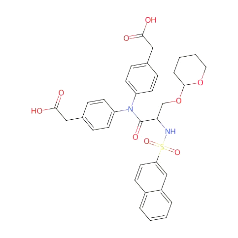 O=C(O)Cc1ccc(N(C(=O)C(COC2CCCCO2)NS(=O)(=O)c2ccc3ccccc3c2)c2ccc(CC(=O)O)cc2)cc1